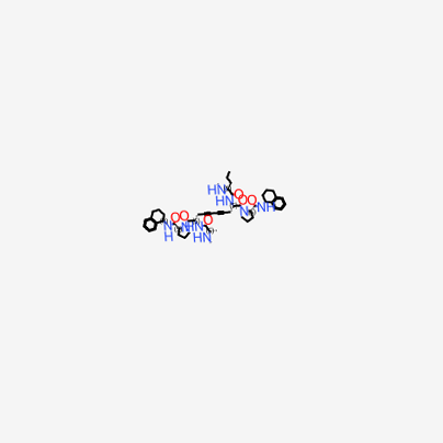 CCC[C@H](NC)C(=O)N[C@@H](CC#CC#CC[C@H](NC(=O)[C@H](C)NC)C(=O)N1CCC[C@H]1C(=O)N[C@@H]1CCCc2ccccc21)C(=O)N1CCC[C@H]1C(=O)NC1CCCc2ccccc21